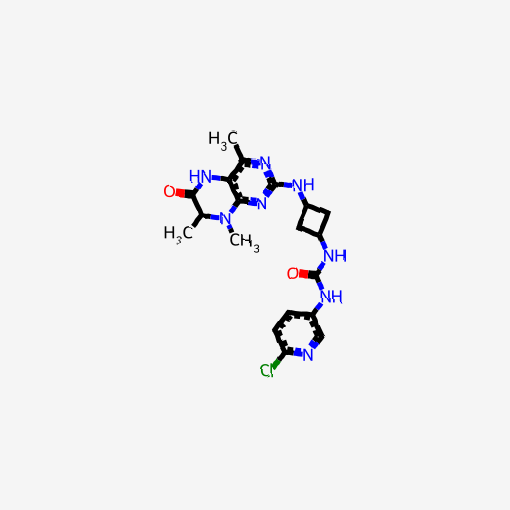 Cc1nc(NC2CC(NC(=O)Nc3ccc(Cl)nc3)C2)nc2c1NC(=O)C(C)N2C